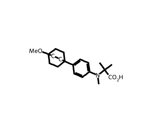 COC12CCC(c3ccc(N(C)C(C)(C)C(=O)O)cc3)(CC1)CC2